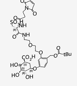 CC(C)(C)C(=O)OCc1ccc(O[C@@H]2C[C@H](C(=O)O)[C@@H](O)[C@H](O)[C@H]2O)cc1OCCOCCNC(=O)[C@H](CS(=O)(=O)O)NC(=O)CCN1C(=O)C=CC1=O